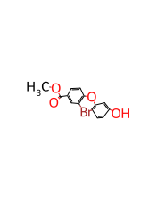 COC(=O)c1ccc(Oc2cccc(O)c2)c(Br)c1